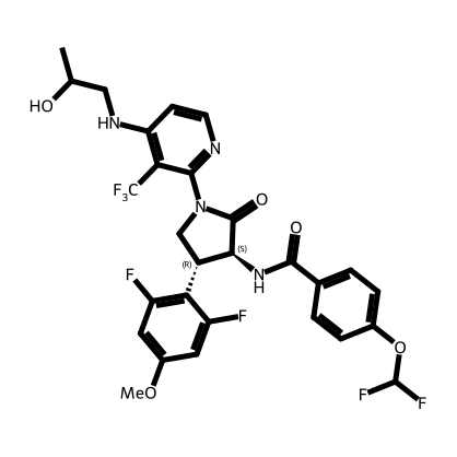 COc1cc(F)c([C@@H]2CN(c3nccc(NCC(C)O)c3C(F)(F)F)C(=O)[C@H]2NC(=O)c2ccc(OC(F)F)cc2)c(F)c1